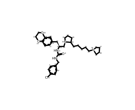 O=C(NCc1ccc(Cl)cc1)N[C@@H](Cc1ccc2c(c1)OCCO2)CN1CCCC1CCCCCN1CCCC1